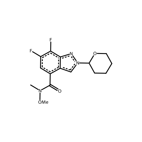 CON(C)C(=O)c1cc(F)c(F)c2nn(C3CCCCO3)cc12